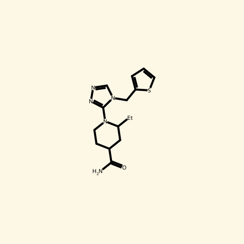 CCC1CC(C(N)=O)CCN1c1nncn1Cc1cccs1